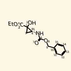 CCOC(=O)C1(O)C[C@H]1NC(=O)OCc1ccccc1